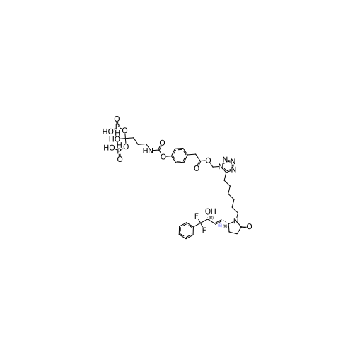 O=C(Cc1ccc(OC(=O)NCCCC(O)(O[PH](=O)O)O[PH](=O)O)cc1)OCn1nnnc1CCCCCCN1C(=O)CC[C@@H]1/C=C/[C@@H](O)C(F)(F)c1ccccc1